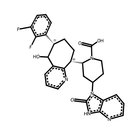 O=C(O)N1CCC(n2c(=O)[nH]c3ncccc32)CC1[C@H]1CC[C@@H](c2cccc(F)c2F)C(O)c2cccnc21